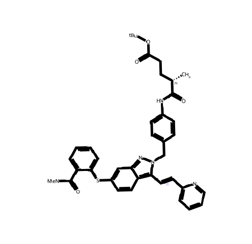 CNC(=O)c1ccccc1Sc1ccc2c(/C=C/c3ccccn3)n(Cc3ccc(NC(=O)[C@@H](C)CCC(=O)OC(C)(C)C)cc3)nc2c1